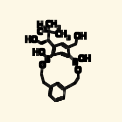 CC(C)(C)[C@H](CO)c1cc(CO)c2cc1B(O)OCCc1cccc(c1)CCOB2O